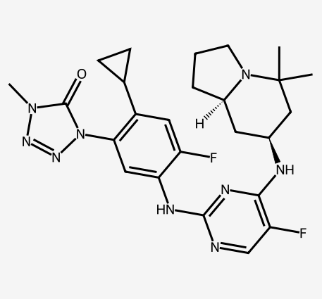 Cn1nnn(-c2cc(Nc3ncc(F)c(N[C@H]4C[C@H]5CCCN5C(C)(C)C4)n3)c(F)cc2C2CC2)c1=O